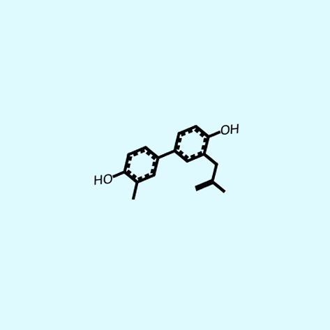 C=C(C)Cc1cc(-c2ccc(O)c(C)c2)ccc1O